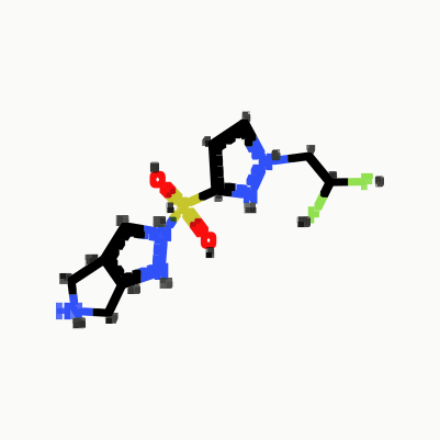 O=S(=O)(c1ccn(CC(F)F)n1)n1cc2c(n1)CNC2